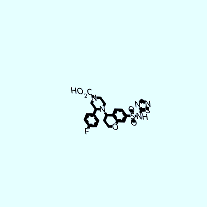 O=C(O)N1CCN(C2CCOc3cc(S(=O)(=O)Nc4ncns4)ccc32)C(c2ccc(F)cc2)C1